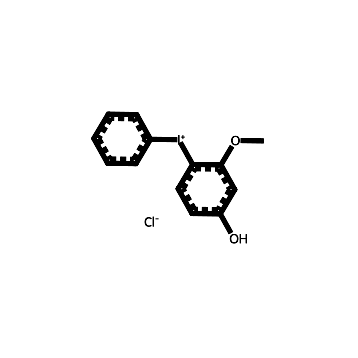 COc1cc(O)ccc1[I+]c1ccccc1.[Cl-]